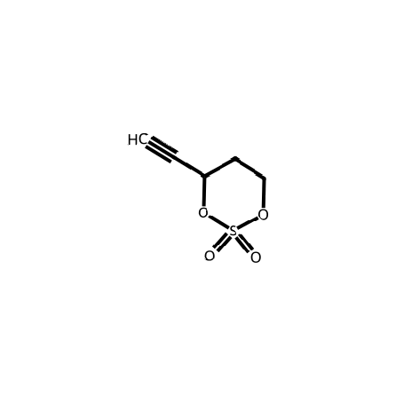 C#CC1CCOS(=O)(=O)O1